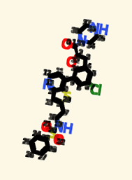 O=C([C@H]1Cc2cc(Cl)cc(-c3ccnc4cc(CCNS(=O)(=O)c5ccccc5)sc34)c2O1)N1CCNCC1